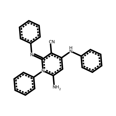 N#Cc1c(Nc2ccccc2)cc(N)n(-c2ccccc2)c1=Nc1ccccc1